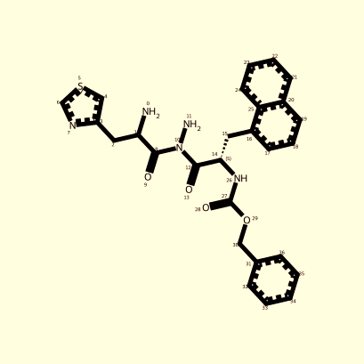 NC(Cc1cscn1)C(=O)N(N)C(=O)[C@H](Cc1cccc2ccccc12)NC(=O)OCc1ccccc1